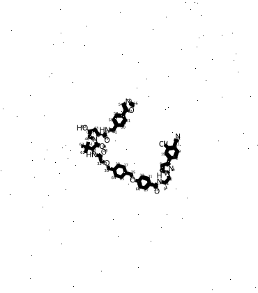 C[C@@H](Cn1ccc(-c2ccc(C#N)c(Cl)c2)n1)NC(=O)c1ccc(OCC2CCC(COCC(=O)N[C@H](C(=O)N3C[C@H](O)C[C@H]3C(=O)NCc3ccc(-c4cnco4)cc3)C(C)(C)C)CC2)cc1